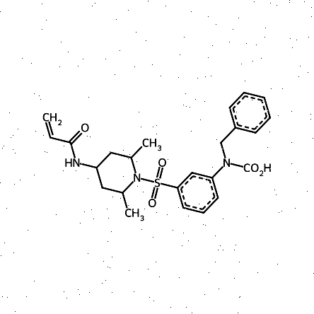 C=CC(=O)NC1CC(C)N(S(=O)(=O)c2cccc(N(Cc3ccccc3)C(=O)O)c2)C(C)C1